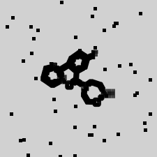 O=C(c1cc(F)ccc1-c1ncccn1)N1CCNOCC1